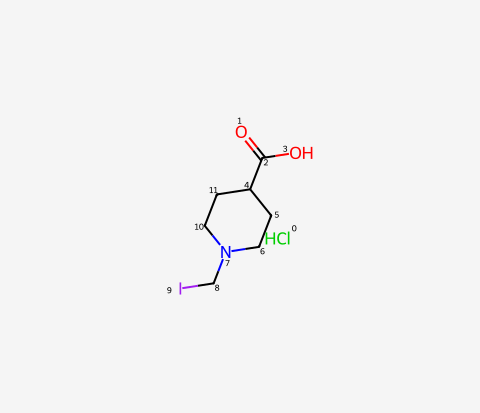 Cl.O=C(O)C1CCN(CI)CC1